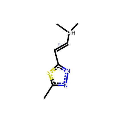 Cc1nnc(/C=C/[SiH](C)C)s1